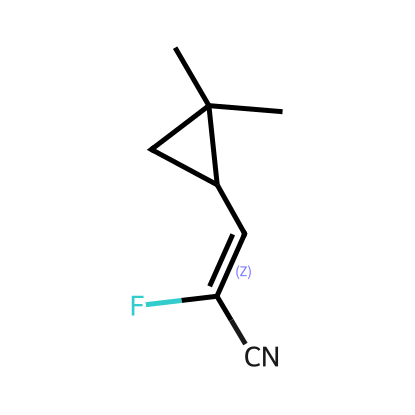 CC1(C)CC1/C=C(\F)C#N